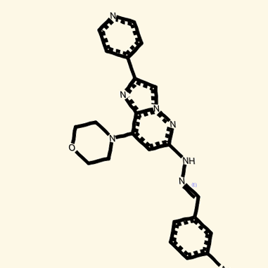 CC(=O)c1cccc(/C=N/Nc2cc(N3CCOCC3)c3nc(-c4ccncc4)cn3n2)c1